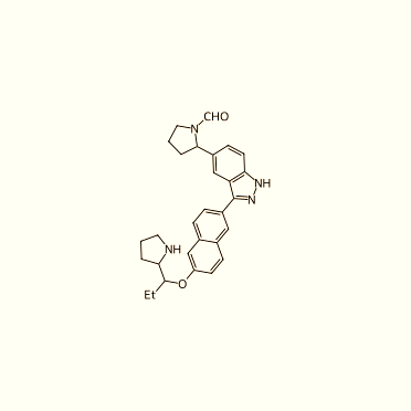 CCC(Oc1ccc2cc(-c3n[nH]c4ccc(C5CCCN5C=O)cc34)ccc2c1)C1CCCN1